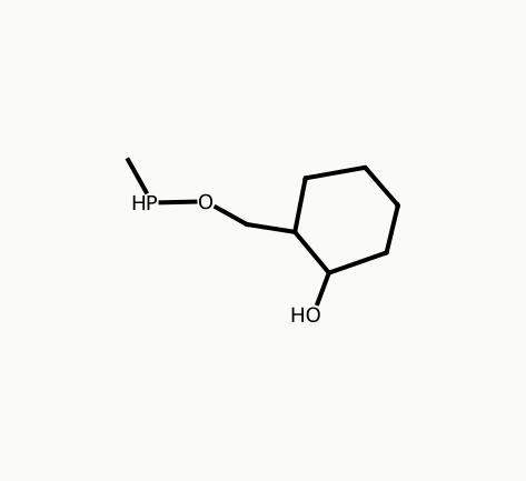 CPOCC1CCCCC1O